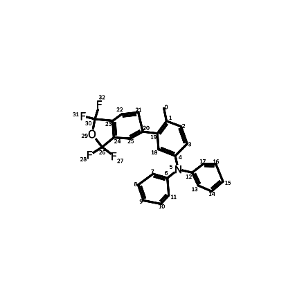 Cc1ccc(N(c2ccccc2)c2ccccc2)cc1-c1ccc2c(c1)C(F)(F)OC2(F)F